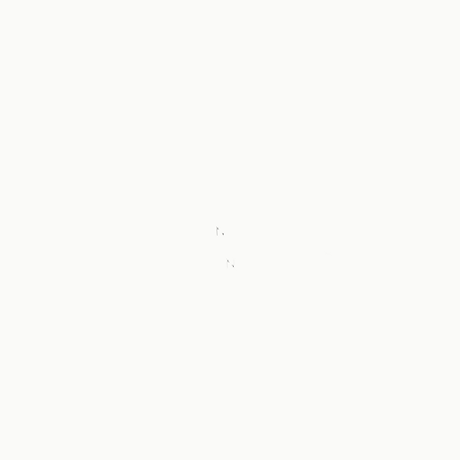 CCC1CCC(c2cnc(C3CCCCC3)nc2)CC1